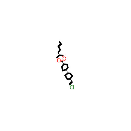 C/C=C/CC[C@H]1CO[C@H](C2CCC([C@H]3CC[C@H](/C=C/Cl)CC3)CC2)OC1